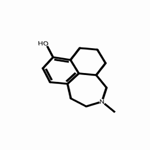 CN1CCc2ccc(O)c3c2C(CCC3)C1